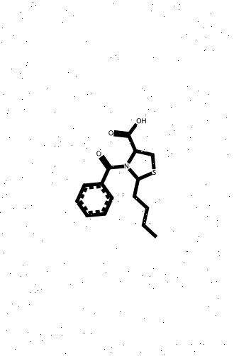 CCCCC1SCC(C(=O)O)N1C(=O)c1ccccc1